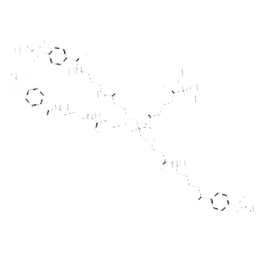 CC(C)(C)C(=O)CCCC(=O)NC(COCCC(=O)NCCCCC(=O)c1ccc(S(N)(=O)=O)cc1)(COCCC(=O)NCCCNC(=O)c1ccc(S(N)(=O)=O)cc1)COCCC(=O)NCCCNC(=O)c1ccc(S(N)(=O)=O)cc1